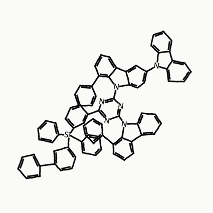 c1ccc(-c2cccc([Si](c3ccccc3)(c3ccccc3)c3cccc(-c4nc(-n5c6ccccc6c6cccc(-c7ccccc7)c65)nc(-n5c6ccc(-n7c8ccccc8c8ccccc87)cc6c6cccc(-c7ccccc7)c65)n4)c3)c2)cc1